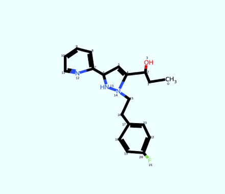 CCC(O)C1=CC(c2ccccn2)NN1CCc1ccc(F)cc1